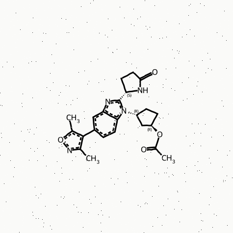 CC(=O)O[C@@H]1CC[C@@H](n2c([C@@H]3CCC(=O)N3)nc3cc(-c4c(C)noc4C)ccc32)C1